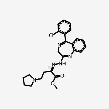 COC(=O)/C(CCN1CCCC1)=N\NC1=Nc2ccccc2C(c2ccccc2Cl)=NC1